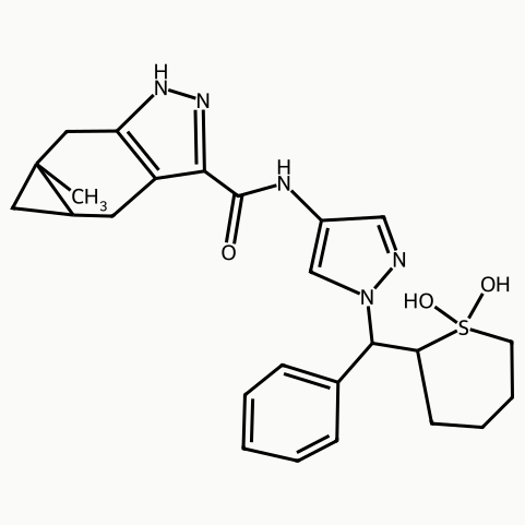 CC12Cc3[nH]nc(C(=O)Nc4cnn(C(c5ccccc5)C5CCCCS5(O)O)c4)c3CC1C2